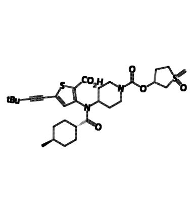 C=S1(=O)CCC(OC(=O)N2CCC(N(c3cc(C#CC(C)(C)C)sc3C(=O)O)C(=O)[C@H]3CC[C@H](C)CC3)CC2)C1